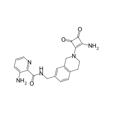 Nc1cccnc1C(=O)NCc1ccc2c(c1)CN(c1c(N)c(=O)c1=O)CC2